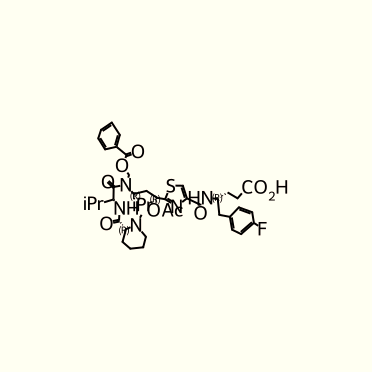 CC(=O)O[C@H](C[C@H](C(C)C)N(COC(=O)c1ccccc1)C(=O)C(NC(=O)[C@H]1CCCCN1C)C(C)C)c1nc(C(=O)N[C@H](CCC(=O)O)Cc2ccc(F)cc2)cs1